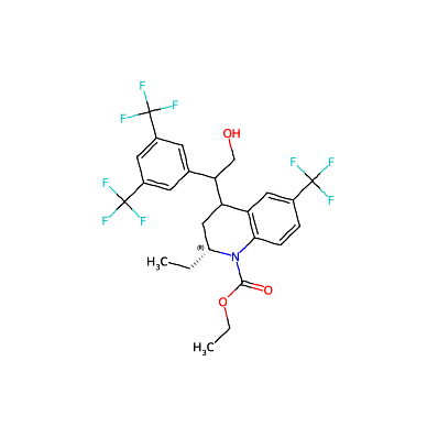 CCOC(=O)N1c2ccc(C(F)(F)F)cc2C(C(CO)c2cc(C(F)(F)F)cc(C(F)(F)F)c2)C[C@H]1CC